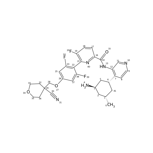 C[C@@H]1C[C@@H](N)C[C@H](c2ccncc2NC(=O)c2ccc(F)c(-c3c(F)cc(OCC4(C#N)CCOCC4)cc3F)n2)C1